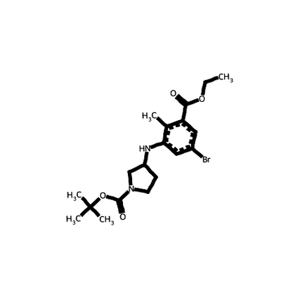 CCOC(=O)c1cc(Br)cc(NC2CCN(C(=O)OC(C)(C)C)C2)c1C